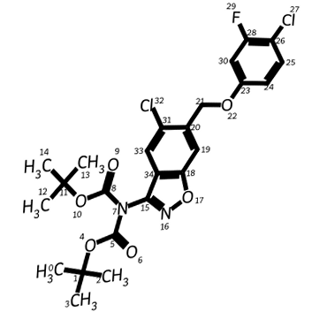 CC(C)(C)OC(=O)N(C(=O)OC(C)(C)C)c1noc2cc(COc3ccc(Cl)c(F)c3)c(Cl)cc12